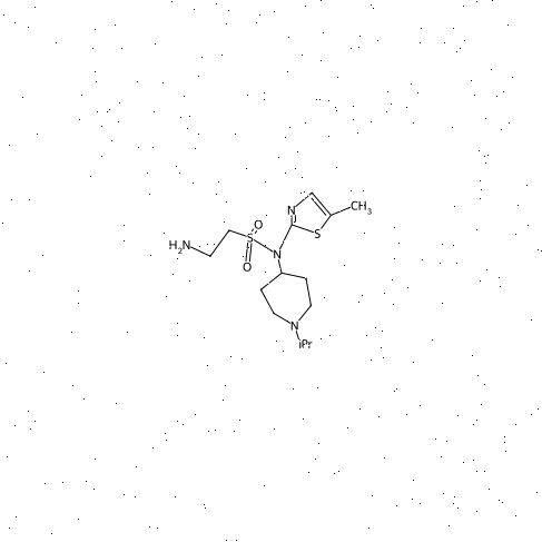 Cc1cnc(N(C2CCN(C(C)C)CC2)S(=O)(=O)CCN)s1